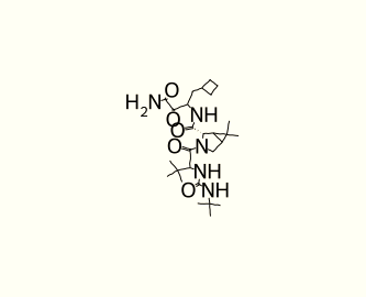 CC(C)(C)NC(=O)NC(C(=O)N1CC2C([C@H]1C(=O)NC(CC1CCC1)C(=O)C(N)=O)C2(C)C)C(C)(C)C